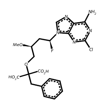 CO[C@H](COC(Cc1ccccc1)(C(=O)O)C(=O)O)C[C@H](F)n1cnc2c(N)nc(Cl)nc21